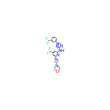 FC(F)c1cccc(-n2cnc(Nc3cc(C(F)F)cc(N4CC(N5CCOCC5)C4)n3)n2)c1